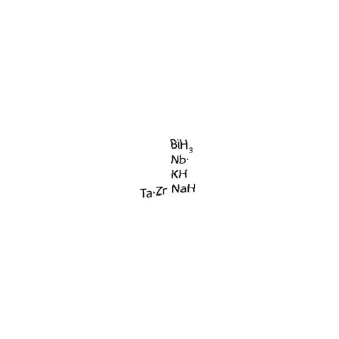 [BiH3].[KH].[NaH].[Nb].[Ta].[Zr]